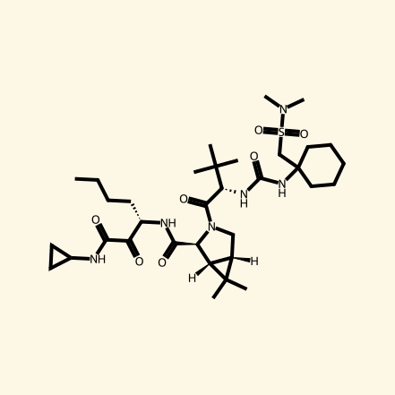 CCCC[C@H](NC(=O)[C@@H]1[C@@H]2[C@H](CN1C(=O)[C@@H](NC(=O)NC1(CS(=O)(=O)N(C)C)CCCCC1)C(C)(C)C)C2(C)C)C(=O)C(=O)NC1CC1